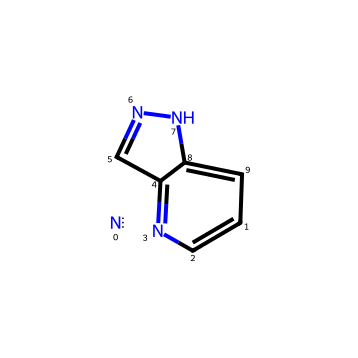 [N].c1cnc2cn[nH]c2c1